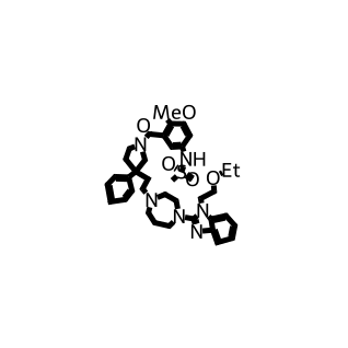 CCOCCn1c(N2CCCN(CCC3(c4ccccc4)CCN(C(=O)c4cc(NS(C)(=O)=O)ccc4OC)C3)CC2)nc2ccccc21